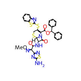 CO/N=C(\C(=O)NC1C(=O)N2C(C(=O)OC(c3ccccc3)c3ccccc3)=C(Sc3nc4ccccc4s3)CS[C@@H]12)c1nsc(N)n1